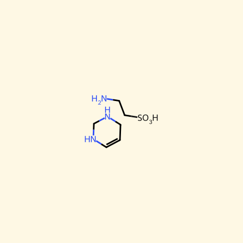 C1=CNCNC1.NCCS(=O)(=O)O